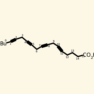 CCCCC#CCC#CCC#CCC#CCCCC(=O)O